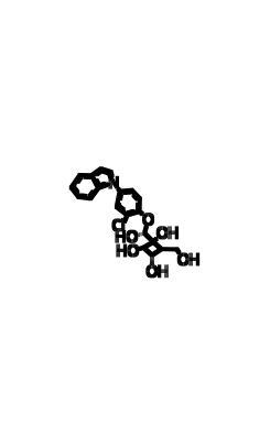 OCC1[C@@H](O)C(O)C1(O)[C@H](O)Oc1ccc(-n2ccc3ccccc32)cc1Cl